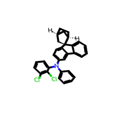 Clc1cccc(N(c2ccccc2)c2ccc3c(c2)-c2ccccc2[C@]32C[C@H]3CC[C@@H]2C3)c1Cl